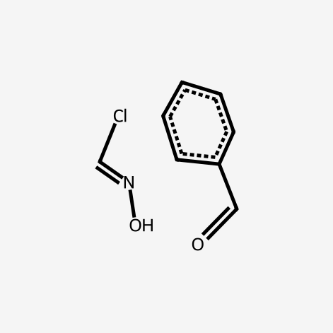 O=Cc1ccccc1.ON=CCl